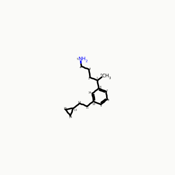 CC(CCCN)c1cccc(CCC2CC2)c1